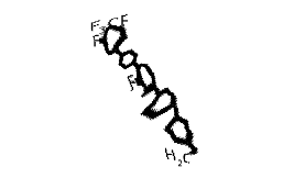 C=CC1CCC(C2CCC(c3ccc(C4CCC(c5cc(F)c(C(F)(F)F)c(F)c5)CC4)c(F)c3)CC2)CC1